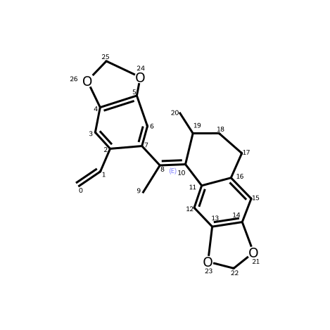 C=Cc1cc2c(cc1/C(C)=C1/c3cc4c(cc3CCC1C)OCO4)OCO2